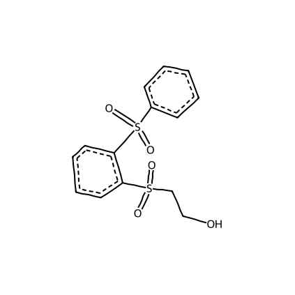 O=S(=O)(CCO)c1ccccc1S(=O)(=O)c1ccccc1